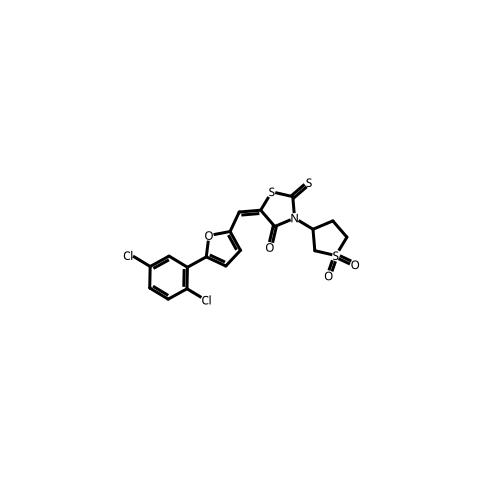 O=C1/C(=C\c2ccc(-c3cc(Cl)ccc3Cl)o2)SC(=S)N1C1CCS(=O)(=O)C1